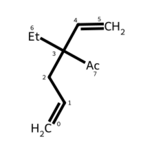 C=CCC(C=C)(CC)C(C)=O